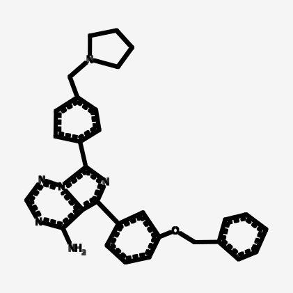 Nc1ncnn2c(-c3ccc(CN4CCCC4)cc3)nc(-c3cccc(OCc4ccccc4)c3)c12